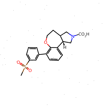 CS(=O)(=O)c1cccc(-c2cccc3c2OCCC2CN(C(=O)O)C[C@H]32)c1